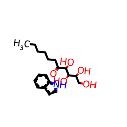 CCCCCCC(=O)C(O)C(O)C(O)CO.c1ccc2[nH]ccc2c1